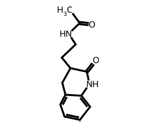 CC(=O)NCCC1Cc2cc[c]cc2NC1=O